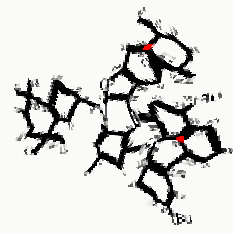 Cc1cc2c3c(c1)N(c1ccc4c(c1)C(C)(C)CCC4(C)C)c1oc4cc5c(cc4c1B3c1cc(C(C)(C)C)ccc1N2c1ccc(C(C)(C)C)cc1-c1ccccc1)C1(C)CCC5(C)CC1